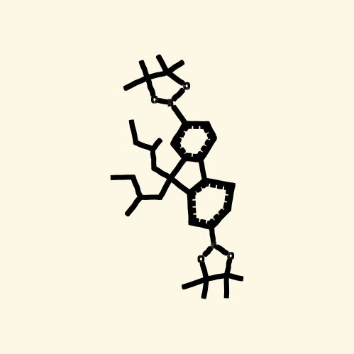 CCC(C)CC1(CC(C)CC)c2cc(B3OC(C)(C)C(C)(C)O3)ccc2-c2ccc(B3OC(C)(C)C(C)(C)O3)cc21